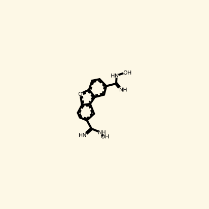 N=C(NO)c1ccc2oc3ccc(C(=N)NO)cc3c2c1